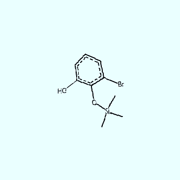 C[Si](C)(C)Oc1c(O)cccc1Br